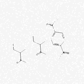 NC(=O)c1cnc(C(N)=O)cn1.NC(CO)C(=O)O.NC(CO)C(=O)O